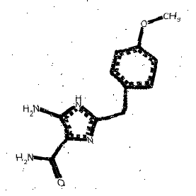 COc1ccc(Cc2nc(C(N)=O)c(N)[nH]2)cc1